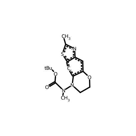 Cc1nc2cc3c(cc2s1)N(N(C)C(=O)OC(C)(C)C)CCO3